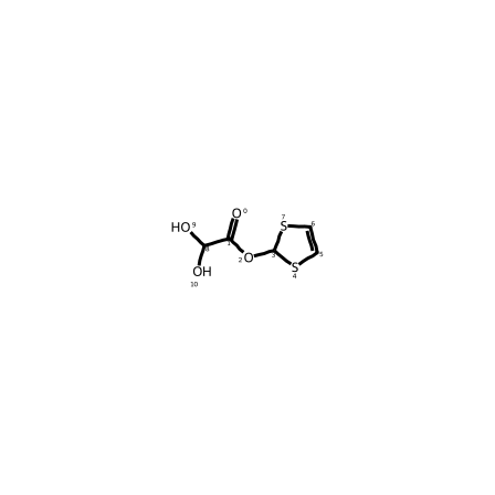 O=C(OC1SC=CS1)C(O)O